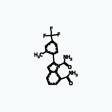 Cc1cc(C(F)(F)F)ccc1-c1cc2cccc(C(N)=O)c2n1C(N)=O